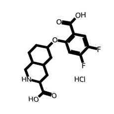 Cl.O=C(O)c1cc(F)c(F)cc1OC1CCC2CNC(C(=O)O)CC2C1